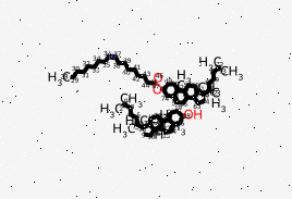 CC(C)CCC[C@@H](C)[C@H]1CC[C@H]2[C@@H]3CC=C4CC(O)CC[C@]4(C)[C@H]3CC[C@]12C.CCCCCCCC/C=C\CCCCCCCC(=O)OC1CC[C@@]2(C)C(=CCC3C2CC[C@@]2(C)C3CC[C@@H]2[C@H](C)CCCC(C)C)C1